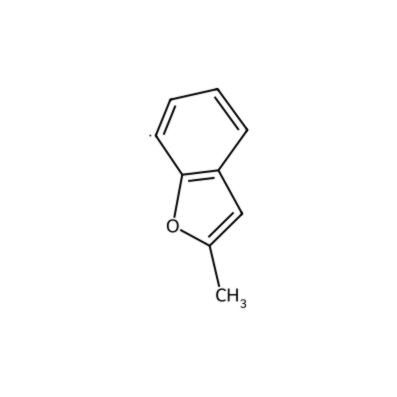 Cc1cc2ccc[c]c2o1